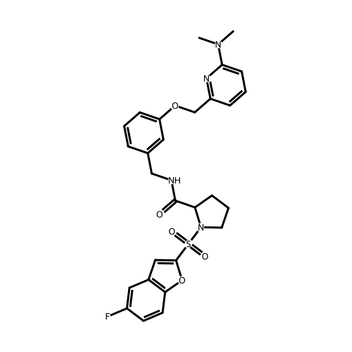 CN(C)c1cccc(COc2cccc(CNC(=O)C3CCCN3S(=O)(=O)c3cc4cc(F)ccc4o3)c2)n1